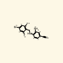 N#Cc1ccc(NCc2c(F)cc(Br)cc2F)c(N)c1